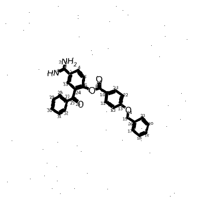 N=C(N)c1ccc(OC(=O)c2ccc(OCc3ccccc3)cc2)c(C(=O)c2ccccc2)c1